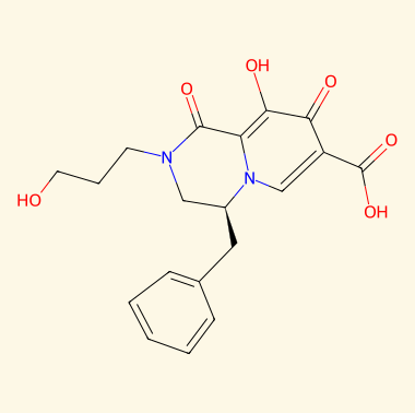 O=C(O)c1cn2c(c(O)c1=O)C(=O)N(CCCO)C[C@@H]2Cc1ccccc1